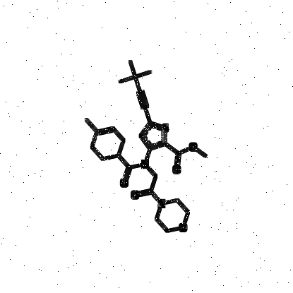 COC(=O)c1sc(C#CC(C)(C)C)cc1N(CC(=O)N1CCOCC1)C(=O)C1CC=C(C)CC1